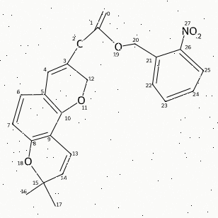 C=C(CC1=Cc2ccc3c(c2OC1)C=CC(C)(C)O3)OCc1ccccc1[N+](=O)[O-]